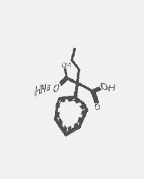 CCCC(C(=O)O)(C(=O)O)c1ccccc1.[NaH]